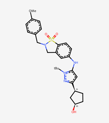 COc1ccc(CN2Cc3cc(Nc4cc([C@H]5CC[C@@H](O)C5)nn4C(C)(C)C)ccc3S2(=O)=O)cc1